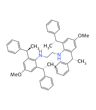 COc1cc([C@H](C)c2ccccc2)c(NCCNc2c([C@H](C)c3ccccc3)cc(OC)cc2[C@H](C)c2ccccc2)c([C@H](C)c2ccccc2)c1